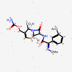 CO/N=C(/C(=O)NC1C(=O)N2C(C(=O)O)C(COC(N)=O)=CS[C@H]12)c1cccc(OC(C)=O)c1